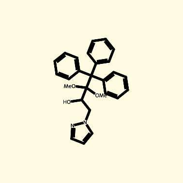 COC(OC)(C(O)Cn1cccn1)C(c1ccccc1)(c1ccccc1)c1ccccc1